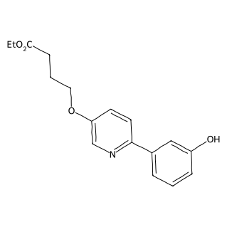 CCOC(=O)CCCOc1ccc(-c2cccc(O)c2)nc1